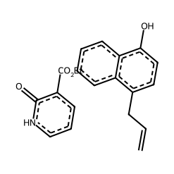 C=CCc1ccc(O)c2ccccc12.CCOC(=O)c1ccc[nH]c1=O